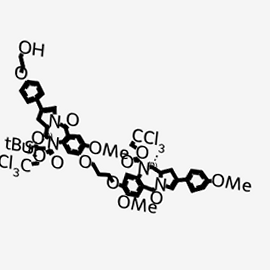 COc1ccc(C2=CN3C(=O)c4cc(OC)c(OCCCOc5cc6c(cc5OC)C(=O)N5C=C(c7ccc(OCCO)cc7)CC5[C@@H](O[Si](C)(C)C(C)(C)C)N6C(=O)OCC(Cl)(Cl)Cl)cc4N(C(=O)OCC(Cl)(Cl)Cl)[C@H](C)C3C2)cc1